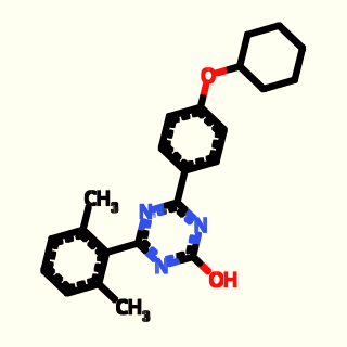 Cc1cccc(C)c1-c1nc(O)nc(-c2ccc(OC3CCCCC3)cc2)n1